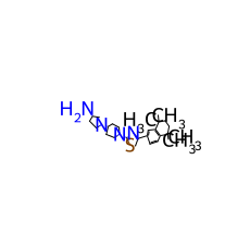 CC1(C)CCC(C)(C)c2cc(C3CSC(N4CCC(N5CCC(N)C5)CC4)=N3)ccc21